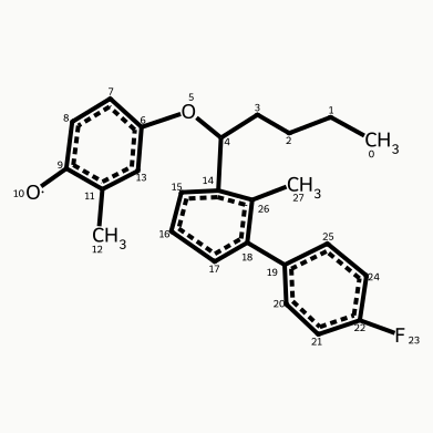 CCCCC(Oc1ccc([O])c(C)c1)c1cccc(-c2ccc(F)cc2)c1C